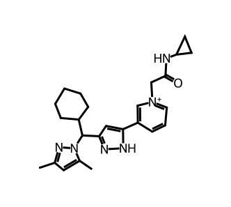 Cc1cc(C)n(C(c2cc(-c3ccc[n+](CC(=O)NC4CC4)c3)[nH]n2)C2CCCCC2)n1